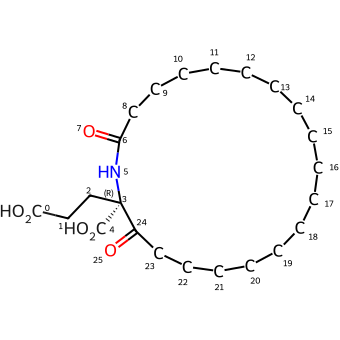 O=C(O)CC[C@@]1(C(=O)O)NC(=O)CCCCCCCCCCCCCCCCC1=O